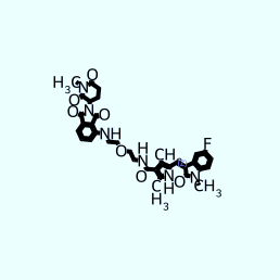 Cc1[nH]c(/C=C2\C(=O)N(C)c3ccc(F)cc32)c(C)c1C(=O)NCCOCCNc1cccc2c1C(=O)N(C1CCC(=O)N(C)C1=O)C2=O